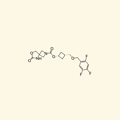 O=C1NC2(CO1)CN(C(=O)O[C@H]1C[C@@H](COCc3cc(F)c(F)cc3F)C1)C2